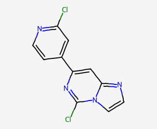 Clc1cc(-c2cc3nccn3c(Cl)n2)ccn1